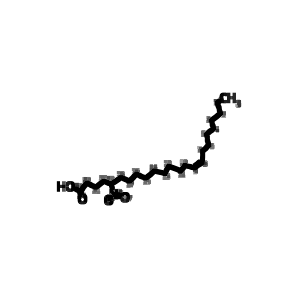 CCCCCCCC/C=C\CCCCCCCCCC(CCCC(=O)O)[N+](=O)[O-]